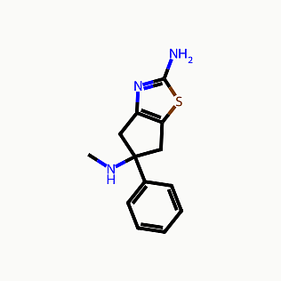 CNC1(c2ccccc2)Cc2nc(N)sc2C1